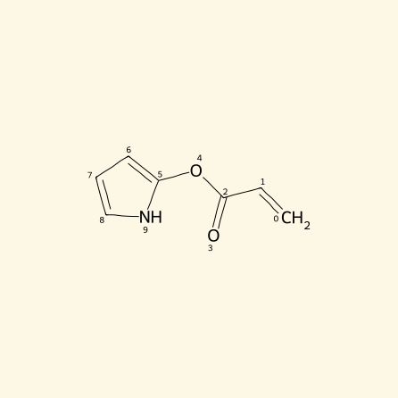 C=CC(=O)Oc1ccc[nH]1